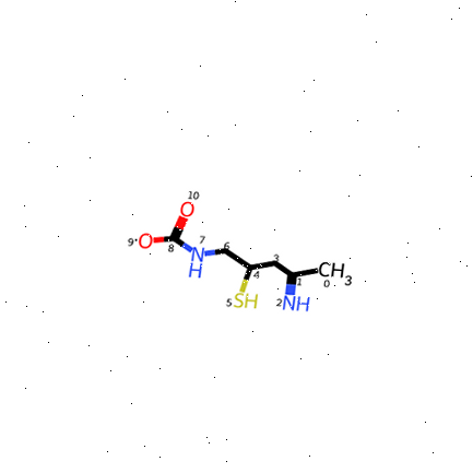 CC(=N)CC(S)CNC([O])=O